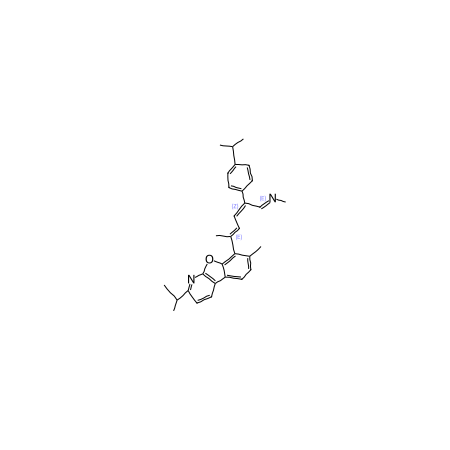 C/N=C/C(=C\C=C(/C)c1c(C)ccc2c1oc1nc(C(C)C)ccc12)c1ccc(C(C)C)cc1